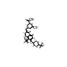 O=C(O)C1CC(O)CN(Cc2ccc3c(C(F)(F)F)c(OC4CCC(C(F)(F)F)CC4)ccc3c2)C1